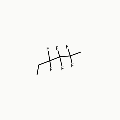 [CH2]C(F)(F)C(F)(F)C(F)(F)CC